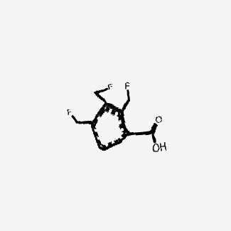 O=C(O)c1ccc(CF)c(CF)c1CF